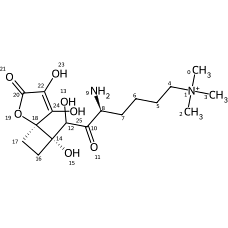 C[N+](C)(C)CCCC[C@H](N)C(=O)C(O)[C@@]1(O)CC[C@@]12OC(=O)C(O)=C2O